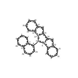 c1ccc2c(-p3n4c5ccccc5cc4c4cc5ccccc5n43)cccc2c1